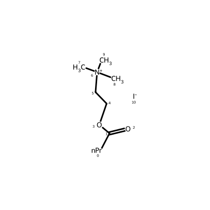 CCCC(=O)OCC[N+](C)(C)C.[I-]